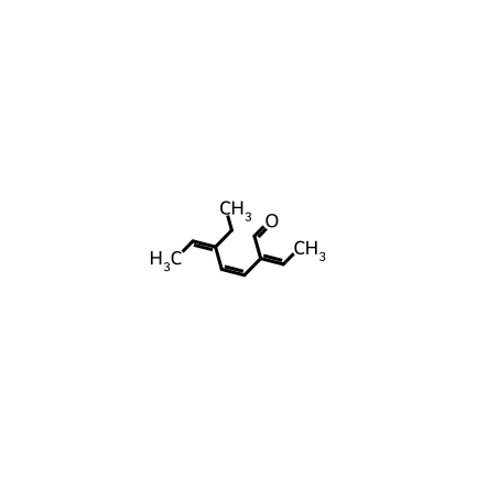 CC=C(C=O)/C=C\C(=C/C)CC